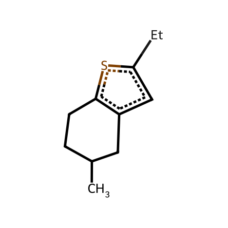 CCc1cc2c(s1)CCC(C)C2